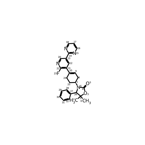 CC1(C)OC(=O)N([C@@H]2CC=C(c3cc(-c4ncccn4)cnc3F)CC2)C1c1ccccc1